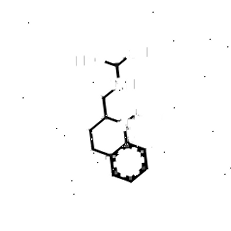 CC(C)NCC1CCc2ccccc2N1C